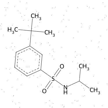 CC(C)NS(=O)(=O)c1cccc(C(C)(C)C)c1